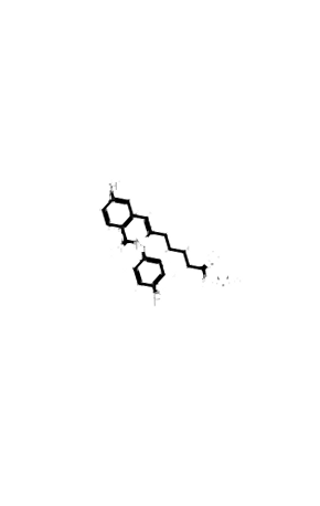 COC(=O)CCCCc1cc2cc(Br)ccc2c(=O)n1-c1ccc(F)cc1